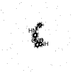 O=C(Nc1cccc2c1C(=O)NC2)c1ccc(NCCN2CCCC2)cc1